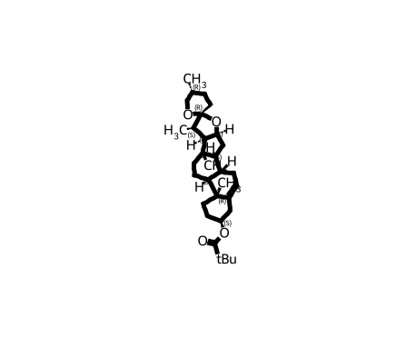 C[C@@H]1CC[C@@]2(OC1)O[C@H]1C[C@H]3[C@@H]4CC=C5C[C@@H](OC(=O)C(C)(C)C)CC[C@]5(C)[C@H]4CC[C@]3(C)[C@H]1[C@@H]2C